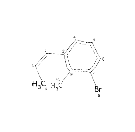 C/C=C\c1cccc(Br)c1C